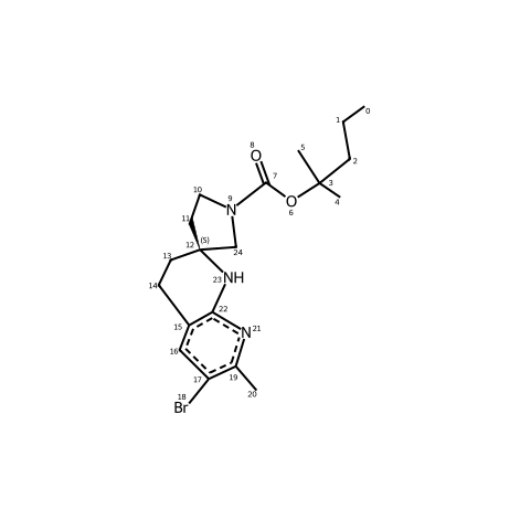 CCCC(C)(C)OC(=O)N1CC[C@@]2(CCc3cc(Br)c(C)nc3N2)C1